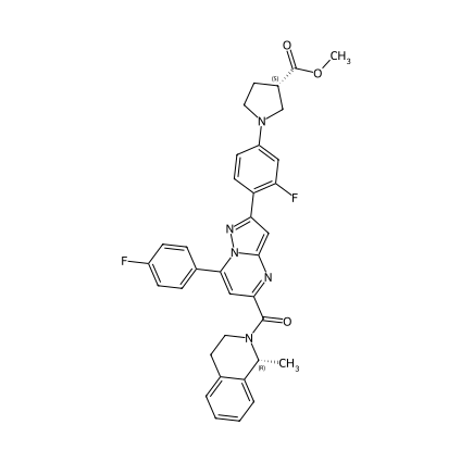 COC(=O)[C@H]1CCN(c2ccc(-c3cc4nc(C(=O)N5CCc6ccccc6[C@H]5C)cc(-c5ccc(F)cc5)n4n3)c(F)c2)C1